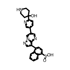 O=S(O)c1ccc(-c2cnn3cc(-c4ccc(C5(O)CCNCC5)nc4)cnc23)c2ccccc12